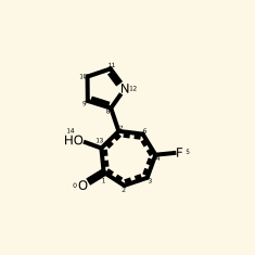 O=c1ccc(F)cc(C2=CCC=N2)c1O